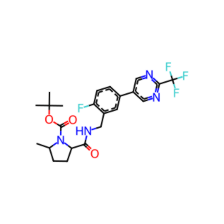 CC1CCC(C(=O)NCc2cc(-c3cnc(C(F)(F)F)nc3)ccc2F)N1C(=O)OC(C)(C)C